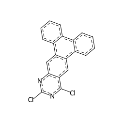 Clc1nc(Cl)c2cc3c4ccccc4c4ccccc4c3cc2n1